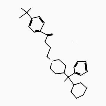 CC(C)(C)c1ccc(C(=O)CCCN2CCC(C(O)(c3ccccc3)C3CCCCC3)CC2)cc1.Cl